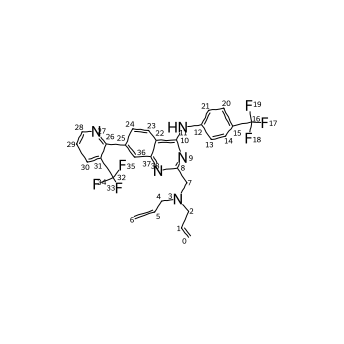 C=CCN(CC=C)Cc1nc(Nc2ccc(C(F)(F)F)cc2)c2ccc(-c3ncccc3C(F)(F)F)cc2n1